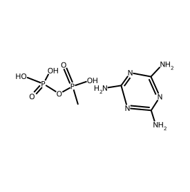 CP(=O)(O)OP(=O)(O)O.Nc1nc(N)nc(N)n1